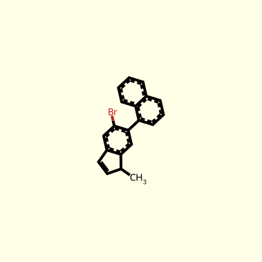 CC1C=Cc2cc(Br)c(-c3cccc4ccccc34)cc21